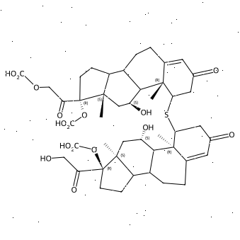 C[C@@]12C(=CC(=O)CC1SC1CC(=O)C=C3CCC4C([C@@H](O)C[C@@]5(C)C4CC[C@]5(OC(=O)O)C(=O)COC(=O)O)[C@]31C)CCC1C2[C@@H](O)C[C@@]2(C)C1CC[C@]2(OC(=O)O)C(=O)CO